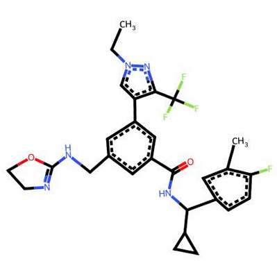 CCn1cc(-c2cc(CNC3=NCCO3)cc(C(=O)NC(c3ccc(F)c(C)c3)C3CC3)c2)c(C(F)(F)F)n1